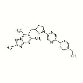 Cc1nc2nc(C)c(CC3CCN(c4cnc(-c5ccc(CO)cc5)cn4)C3)c(C)n2n1